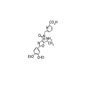 CCOc1ccc(-c2nc(C(=O)NCc3cccc(C(=O)O)n3)c([C@H](C)N)o2)cc1OCC